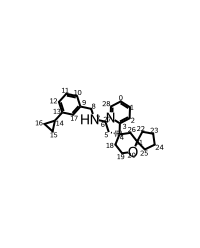 c1ccc([C@]2(CCNCc3cccc(C4CC4)c3)CCOC3(CCCC3)C2)nc1